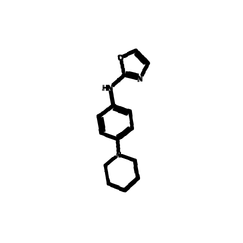 c1coc(Nc2ccc(N3CCCCC3)cc2)n1